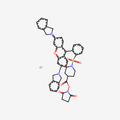 O=C(ON1C(=O)CCC1=O)C1CCN(S(=O)(=O)c2ccccc2-c2c3ccc(=[N+]4Cc5ccccc5C4)cc-3oc3cc(N4Cc5ccccc5C4)ccc23)CC1.[Cl-]